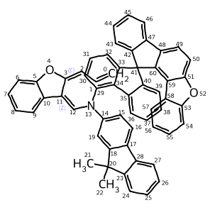 C=C/C=c1/oc2ccccc2/c1=C/N(c1ccc2c(c1)C(C)(C)c1ccccc1-2)c1cccc2c1-c1ccccc1C21c2ccccc2-c2ccc3oc4ccccc4c3c21